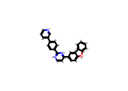 c1cncc(-c2ccc(-c3nccc(-c4ccc5oc6ccccc6c5c4)n3)cc2)c1